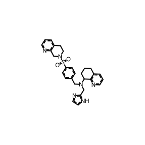 O=S(=O)(c1ccc(CN(Cc2ncc[nH]2)C2CCCc3cccnc32)cc1)N1CCc2cccnc2C1